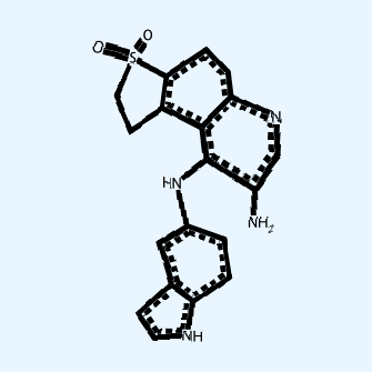 Nc1cnc2ccc3c(c2c1Nc1ccc2[nH]ccc2c1)CCS3(=O)=O